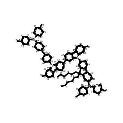 CCCCCCC1(CCCCCC)c2cc(N(c3ccc(C)cc3)c3ccc(C)cc3)ccc2-c2ccc(-n3c4cc(C)ccc4c4ccc(-c5ccc6c7ccc(C)cc7n(-c7ccc(-c8ccc(N(c9ccc(C)cc9)c9ccc(C)cc9)cc8)cc7)c6c5)cc43)cc21